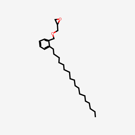 CCCCCCCCCCCCCCCCCCc1ccccc1COCC1CO1